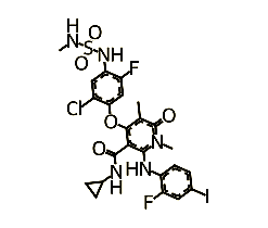 CNS(=O)(=O)Nc1cc(Cl)c(Oc2c(C(=O)NC3CC3)c(Nc3ccc(I)cc3F)n(C)c(=O)c2C)cc1F